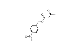 [CH2]C(=O)CC(=O)OCc1ccc([N+](=O)[O-])cc1